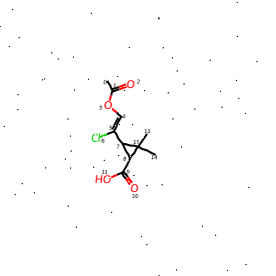 CC(=O)O/C=C(\Cl)C1C(C(=O)O)C1(C)C